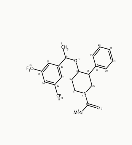 CNC(=O)N1CCC(OC(C)c2cc(C(F)(F)F)cc(C(F)(F)F)c2)C(c2ccccc2)C1